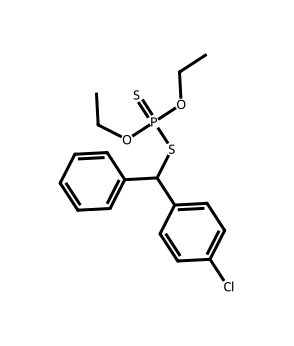 CCOP(=S)(OCC)SC(c1ccccc1)c1ccc(Cl)cc1